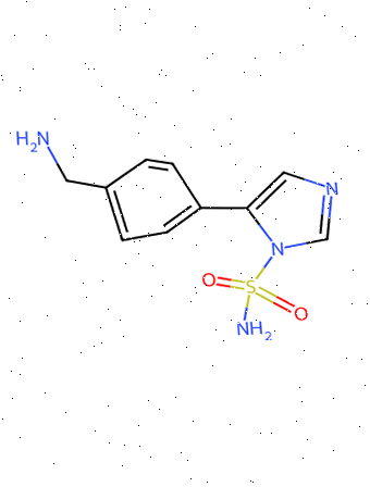 NCc1ccc(-c2cncn2S(N)(=O)=O)cc1